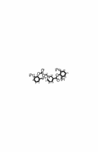 CC(C)c1cccc(C(C)C)c1OC(=O)OCN1C=CC=C(C(=O)Oc2c(C(C)C)cccc2C(C)C)C1